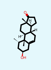 C[C@H]1C[C@H](O)CC2=CC[C@@H]3[C@H](CC[C@]4(C)C(=O)CC[C@@H]34)[C@]21C